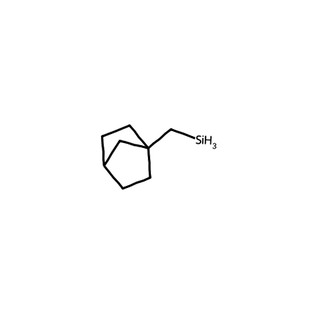 [SiH3]CC12CCC(CC1)C2